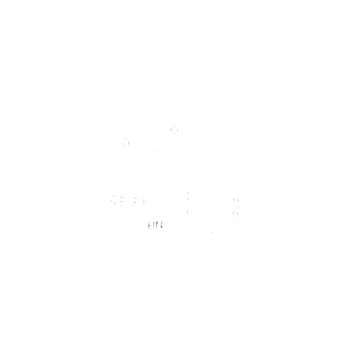 COC(=O)C1C(=O)Nc2ccccc21